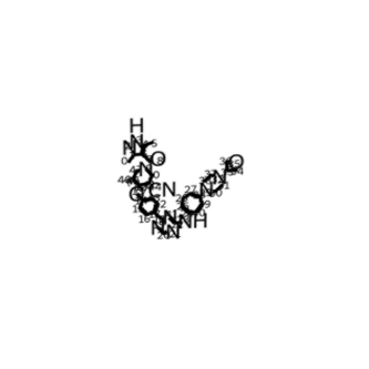 Cc1n[nH]c(C)c1C(=O)N1CC[C@H](Oc2ccc(-c3ncnc(NC4=CCC=C(N5CCN(C6COC6)CC5)C=C4)n3)cc2C#N)[C@H](C)C1